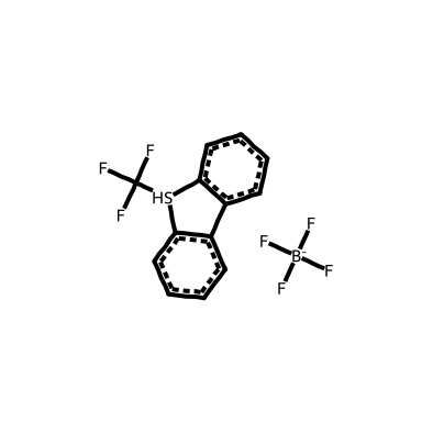 FC(F)(F)[SH]1c2ccccc2-c2ccccc21.F[B-](F)(F)F